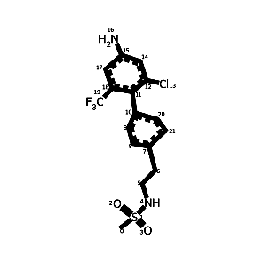 CS(=O)(=O)NCCc1ccc(-c2c(Cl)cc(N)cc2C(F)(F)F)cc1